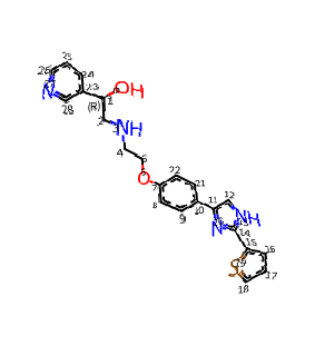 O[C@@H](CNCCOc1ccc(-c2c[nH]c(-c3cccs3)n2)cc1)c1cccnc1